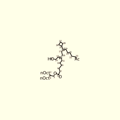 CCCCCCCCC(CCCCCCCC)COC(=O)CCCCCN(CCO)CCN(CCCCCC(C)=O)C1CCC1